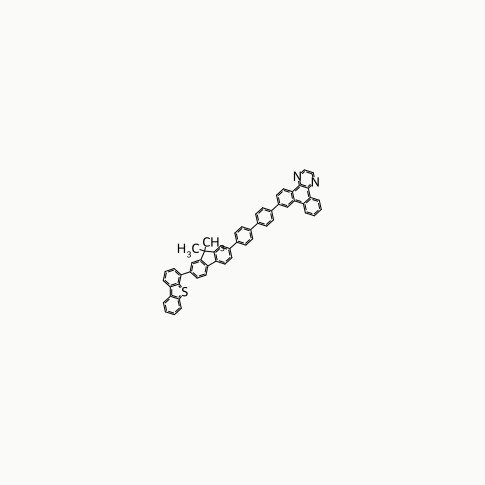 CC1(C)c2cc(-c3ccc(-c4ccc(-c5ccc6c(c5)c5ccccc5c5nccnc65)cc4)cc3)ccc2-c2ccc(-c3cccc4c3sc3ccccc34)cc21